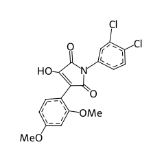 COc1ccc(C2=C(O)C(=O)N(c3ccc(Cl)c(Cl)c3)C2=O)c(OC)c1